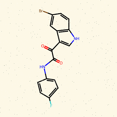 O=C(Nc1ccc(F)cc1)C(=O)c1c[nH]c2ccc(Br)cc12